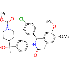 COc1cc2c(cc1OC(C)C)[C@H](c1ccc(Cl)cc1)N(c1ccc(C(C)(O)C3CCN(C(=O)OC(C)C)CC3)cc1)C(=O)C2